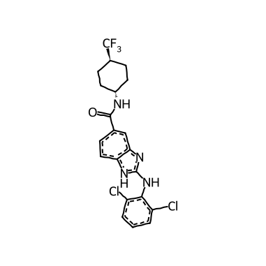 O=C(N[C@H]1CC[C@H](C(F)(F)F)CC1)c1ccc2[nH]c(Nc3c(Cl)cccc3Cl)nc2c1